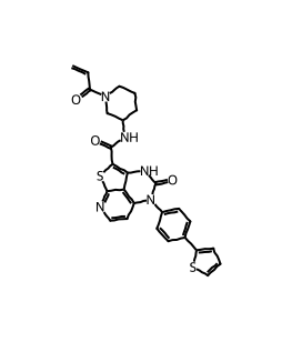 C=CC(=O)N1CCCC(NC(=O)c2sc3nccc4c3c2NC(=O)N4c2ccc(-c3cccs3)cc2)C1